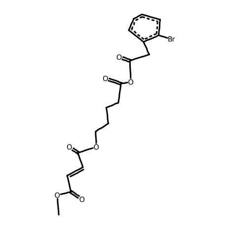 COC(=O)/C=C/C(=O)OCCCCC(=O)OC(=O)Cc1ccccc1Br